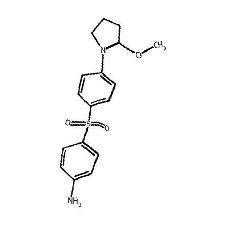 COC1CCCN1c1ccc(S(=O)(=O)c2ccc(N)cc2)cc1